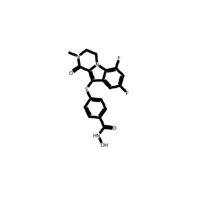 CN1CCn2c(c(Sc3ccc(C(=O)NO)cc3)c3cc(F)cc(F)c32)C1=O